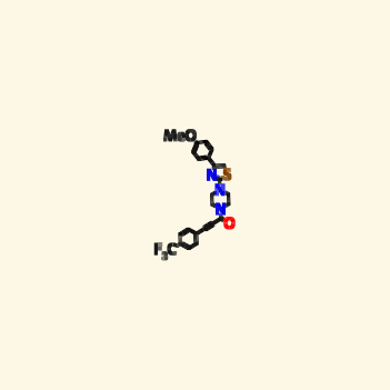 COc1ccc(-c2csc(N3CCN(C(=O)C#Cc4ccc(C(F)(F)F)cc4)CC3)n2)cc1